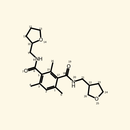 Cc1cc(C)c(C(=O)NCC2CCCO2)c(C)c1C(=O)NCC1CCOC1